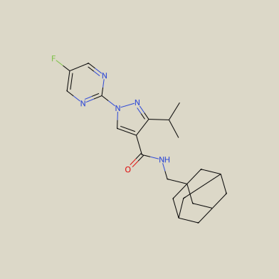 CC(C)c1nn(-c2ncc(F)cn2)cc1C(=O)NCC12CC3CC(CC(C3)C1)C2